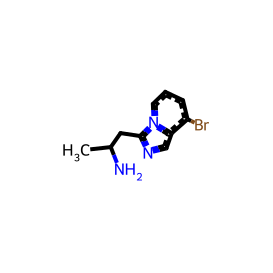 CC(N)Cc1ncc2c(Br)cccn12